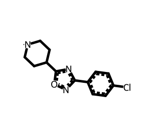 Clc1ccc(-c2noc(C3CC[N]CC3)n2)cc1